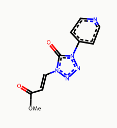 COC(=O)/C=C/n1nnn(-c2ccncc2)c1=O